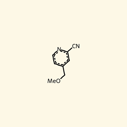 [CH2]OCc1ccnc(C#N)c1